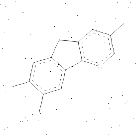 Cc1cnc2c(c1)Cc1cc(C)c(C)cc1-2